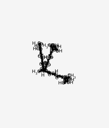 CCC(=O)NC(COCCC(=O)NCCCNC(=O)CCCCOC1OC(CO)C(O)C(O)C1NC(C)=O)(COCCC(=O)NCCCNC(=O)CCCCOC1OC(CO)C(O)C(O)C1NC(C)=O)COCCC(=O)NCCCNC(=O)CCCCO[C@H](O)CNC(C)=O